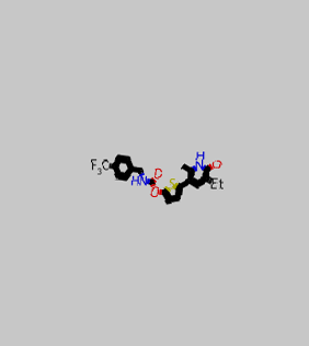 CCc1cc(-c2ccc(OC(=O)NCc3ccc(C(F)(F)F)cc3)s2)c(C)[nH]c1=O